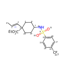 C/C=C/C1(C(=O)OCC)CCC(NS(=O)(=O)c2ccc(C(F)(F)F)cc2)CC1